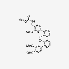 COc1cc(-c2nccc(-c3cccc(-c4ccc(CNC(=O)OC(C)(C)C)c(OC)n4)c3Cl)c2Cl)ccc1C=O